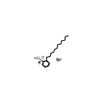 CCCCCCCCCCCCc1ccccc1S(=O)(=O)O.[Br-].[Na+]